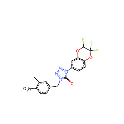 Cc1cc(Cn2nnn(-c3ccc4c(c3)OC(F)C(F)(F)O4)c2=O)ccc1[N+](=O)[O-]